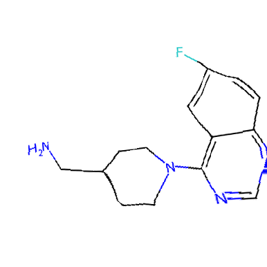 NCC1CCN(c2ncnc3ccc(F)cc23)CC1